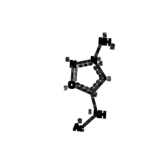 CC(=O)Nc1c[n+](N)no1